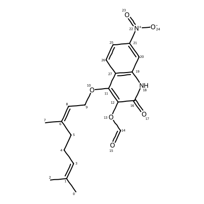 CC(C)=CCCC(C)=CCOc1c(OC=O)c(=O)[nH]c2cc([N+](=O)[O-])ccc12